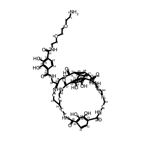 NCCOCCOCCNC(=O)c1ccc(C(=O)NC/C2=N/CCC3CCNC(=O)c4ccc(c(O)c4O)C(=O)NCCN(CCNC(=O)c4ccc(c(O)c4O)C(=O)NCC3)CCNC(=O)c3ccc(c(O)c3O)C(=O)NC2)c(O)c1O